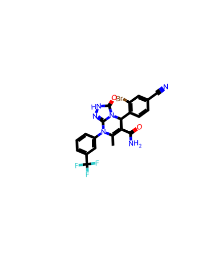 CC1=C(C(N)=O)C(c2ccc(C#N)cc2Br)n2c(n[nH]c2=O)N1c1cccc(C(F)(F)F)c1